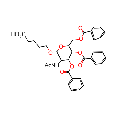 CC(=O)NC1C(OCCCCC(=O)O)OC(COC(=O)c2ccccc2)C(OC(=O)c2ccccc2)C1OC(=O)c1ccccc1